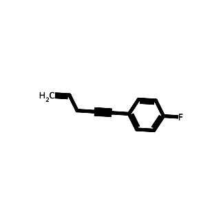 C=CCC#Cc1ccc(F)cc1